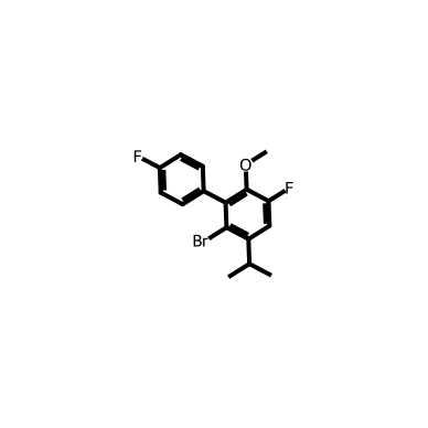 COc1c(F)cc(C(C)C)c(Br)c1-c1ccc(F)cc1